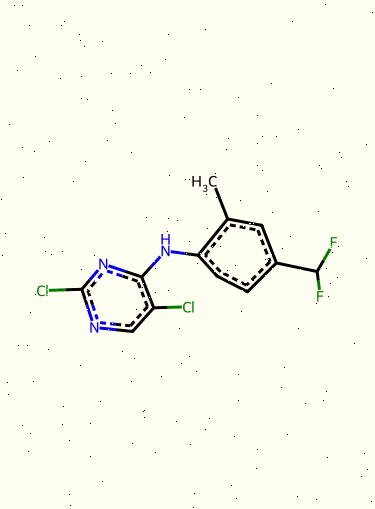 Cc1cc(C(F)F)ccc1Nc1nc(Cl)ncc1Cl